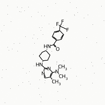 Cc1cnc(N[C@H]2CC[C@@H](NC(=O)c3ccc(C(F)(F)F)cc3)CC2)nc1N(C)C